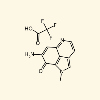 Cn1cc2ccnc3c2c1C(=O)C(N)=C3.O=C(O)C(F)(F)F